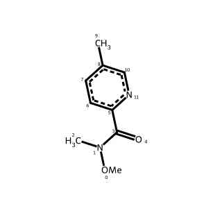 CON(C)C(=O)c1ccc(C)cn1